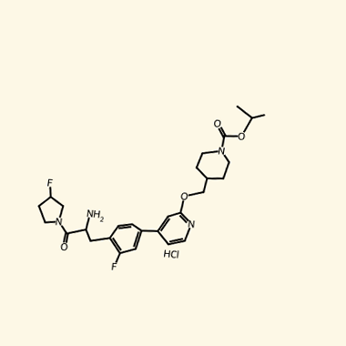 CC(C)OC(=O)N1CCC(COc2cc(-c3ccc(CC(N)C(=O)N4CCC(F)C4)c(F)c3)ccn2)CC1.Cl